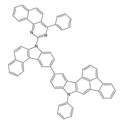 c1ccc(-c2nc(-n3c4ccc(-c5ccc6c(c5)c5c7cccc8c7c(cc5n6-c5ccccc5)-c5ccccc5-8)cc4c4c5ccccc5ccc43)nc3c2ccc2ccccc23)cc1